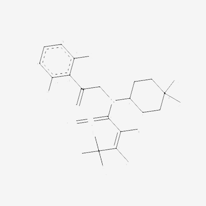 C=C(CN(C(=C=O)/C(C)=C(/C)C(C)(F)F)C1CCC(C)(C)CC1)c1c(F)cccc1CC